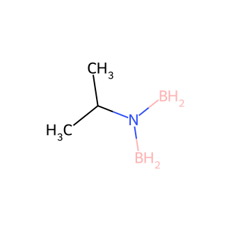 BN(B)C(C)C